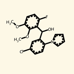 COc1ccc(F)c(C(O)c2cc(Cl)ccc2-n2cccc2)c1OC